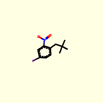 CC(C)(C)Cc1ccc(I)cc1[N+](=O)[O-]